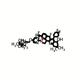 CC1(C)Cc2nc(C3CCN(c4ncc(OCCO[Si](C)(C)C(C)(C)C)cn4)CC3)c(C(F)c3ccc(C(F)(F)F)cc3)c(C3CCC(F)(F)CC3)c2C(O)C1